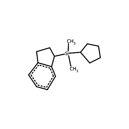 C[Si](C)(C1CCCC1)C1CCc2ccccc21